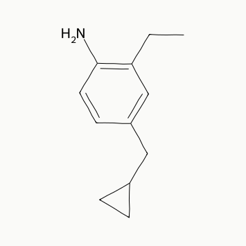 CCc1cc(CC2CC2)ccc1N